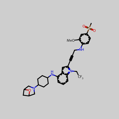 COc1cc(S(C)(=O)=O)ccc1NCC#Cc1cc2c(NC3CCC(N4CC5CC(C4)O5)CC3)cccc2n1CC(F)(F)F